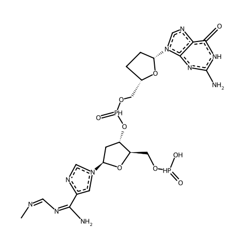 C/N=C\N=C(\N)c1cn([C@H]2C[C@H](O[PH](=O)OC[C@@H]3CC[C@H](n4cnc5c(=O)[nH]c(N)nc54)O3)[C@@H](CO[PH](=O)O)O2)cn1